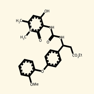 CCOC(=O)CC(NC(=O)Nc1c(O)cc(C)n(C)c1=O)c1ccc(Oc2ccccc2OC)cc1